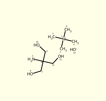 C[N+](C)(C)C.NC(CO)(CO)CO.[OH-]